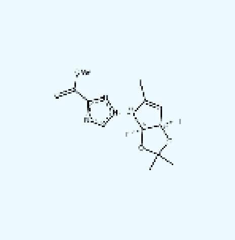 COC(=O)c1ncn([C@@H]2C(I)=C[C@H]3OC(C)(C)O[C@@H]23)n1